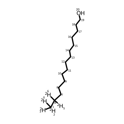 [2H]C([2H])([2H])C([2H])([2H])CCCCCCCCCCCCCO